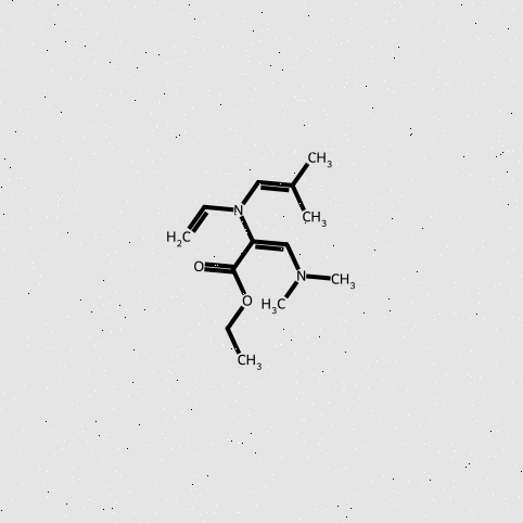 C=CN(C=C(C)C)C(=CN(C)C)C(=O)OCC